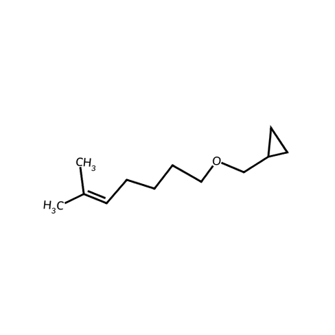 CC(C)=CCCCCOCC1CC1